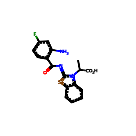 CC(C(=O)O)n1c(=NC(=O)c2ccc(F)cc2N)sc2ccccc21